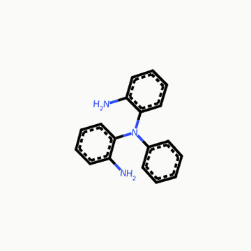 Nc1ccccc1N(c1ccccc1)c1ccccc1N